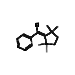 CC1(C)CCC(C)(C)C1=C(Cl)c1ccccc1